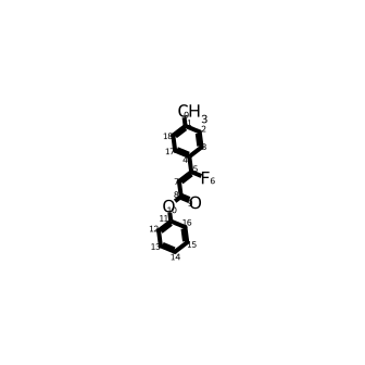 Cc1ccc(C(F)=CC(=O)Oc2ccccc2)cc1